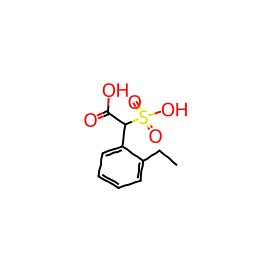 CCc1ccccc1C(C(=O)O)S(=O)(=O)O